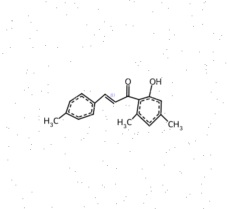 Cc1ccc(/C=C/C(=O)c2c(C)cc(C)cc2O)cc1